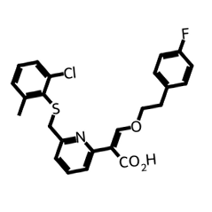 Cc1cccc(Cl)c1SCc1cccc(C(=COCCc2ccc(F)cc2)C(=O)O)n1